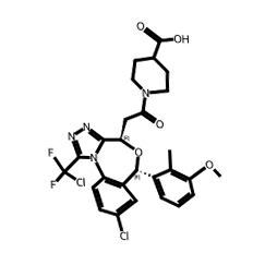 COc1cccc([C@H]2O[C@H](CC(=O)N3CCC(C(=O)O)CC3)c3nnc(C(F)(F)Cl)n3-c3ccc(Cl)cc32)c1C